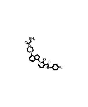 BCC(=O)N1CCN(c2cccc3c2CCC3n2cccc(C(=O)Nc3ccc(Cl)cc3)c2=O)CC1